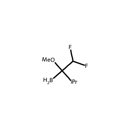 BC(OC)(C(C)C)C(F)F